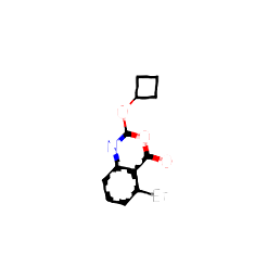 CCc1cccc2nc(OC3CCC3)oc(=O)c12